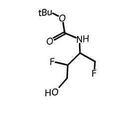 CC(C)(C)OC(=O)NC(CF)C(F)CO